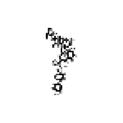 O=C(NCc1ccc(-c2ccccc2)o1)C(CCCN1CCNCC1C(=O)NCC(F)(F)F)Cc1ccccn1